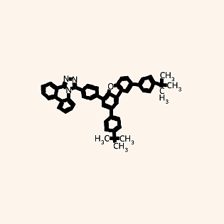 CC(C)(C)c1ccc(-c2ccc3oc4c(-c5ccc(-c6nnc7c8ccccc8c8ccccc8n67)cc5)cc(-c5ccc(C(C)(C)C)cc5)cc4c3c2)cc1